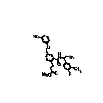 COC(=O)CCc1ccc(COc2cccc(C#N)c2)cc1C(=O)NC(CC(C)C)c1ccc(F)c(C)c1